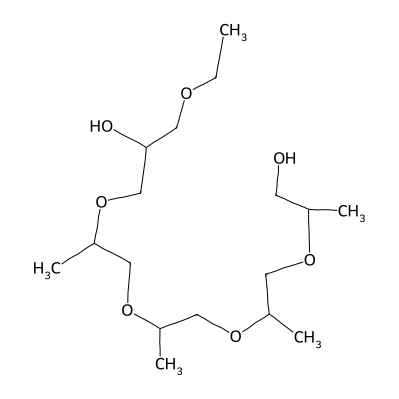 CCOCC(O)COC(C)COC(C)COC(C)COC(C)CO